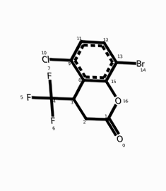 O=C1CC(C(F)(F)F)c2c(Cl)ccc(Br)c2O1